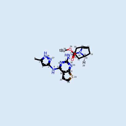 Cc1cc(Nc2nc(N[C@@H]3CC4=CC[C@@H](C3)N4C(=O)OC(C)(C)C)nc3sccc23)n[nH]1